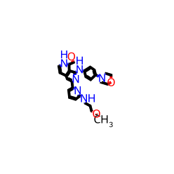 COCCCNc1cccc(-c2cc3c(c(Nc4ccc(N5CCOCC5)cc4)n2)C(C=O)NC=C3)n1